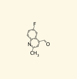 Cc1cc(C=O)c2cc(F)ccc2n1